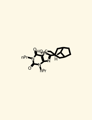 CCCn1c(=O)c2[nH]c(C3CC4CCC(C3)C4NCC(=O)O)nc2n(CCC)c1=O